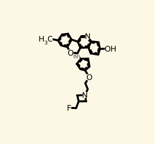 Cc1ccc2c(c1)O[C@@H](c1ccc(OCCN3CC(CF)C3)cc1)c1c-2cnc2cc(O)ccc12